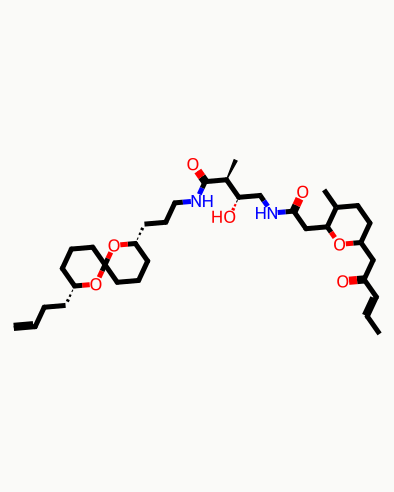 C=CCC[C@@H]1CCCC2(CCC[C@@H](CCCNC(=O)[C@@H](C)[C@@H](O)CNC(=O)CC3OC(CC(=O)/C=C/C)CCC3C)O2)O1